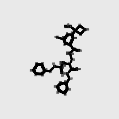 COC1(c2cc(F)cc(C(=O)NC[C@@H](NC(=O)OCc3ccccc3)C(=O)OCc3ccccc3)c2)COC1